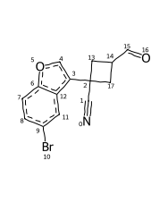 N#CC1(c2coc3ccc(Br)cc23)CC(C=O)C1